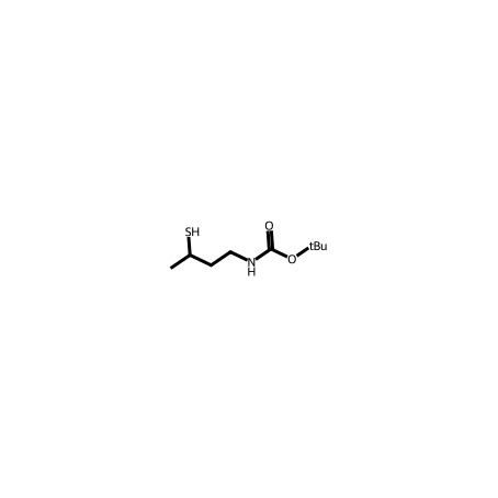 CC(S)CCNC(=O)OC(C)(C)C